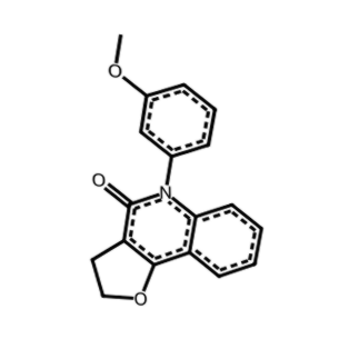 COc1cccc(-n2c(=O)c3c(c4ccccc42)OCC3)c1